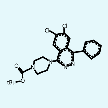 CC(C)(C)OC(=O)N1CCN(c2nnc(-c3ccccc3)c3cc(Cl)c(Cl)cc23)CC1